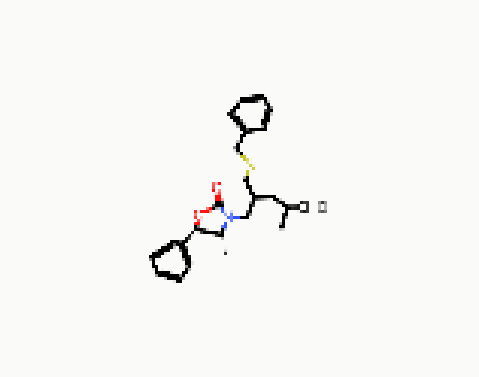 CC(C=O)CC(CSCc1ccccc1)CN1C(=O)O[C@H](c2ccccc2)[C@H]1C